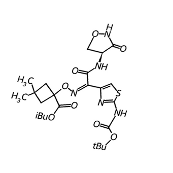 CC(C)COC(=O)C1(O/N=C(\C(=O)N[C@H]2CONC2=O)c2csc(NC(=O)OC(C)(C)C)n2)CC(C)(C)C1